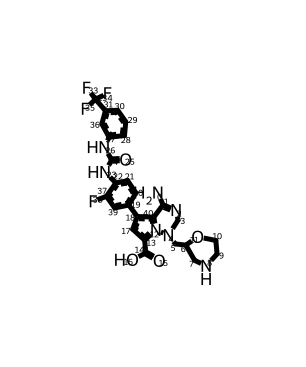 NC1=NCN(CC2CNCCO2)n2c(C(=O)O)cc(-c3ccc(NC(=O)Nc4cccc(C(F)(F)F)c4)c(F)c3)c21